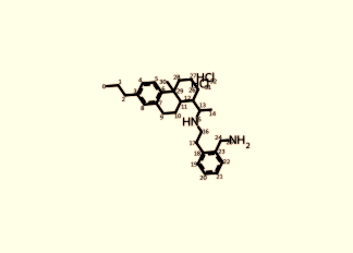 CCCc1ccc2c(c1)CCC1C(C(C)NCCc3ccccc3CN)CCCC21C.Cl.Cl